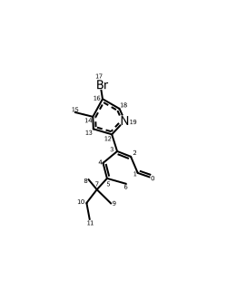 C=C/C=C(\C=C(/C)C(C)(C)CC)c1cc(C)c(Br)cn1